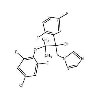 CC(C)(Oc1c(F)cc(Cl)cc1F)C(O)(Cn1cncn1)c1cc(F)ccc1F